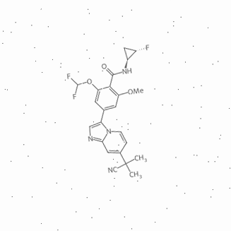 COc1cc(-c2cnc3cc(C(C)(C)C#N)ccn23)cc(OC(F)F)c1C(=O)N[C@H]1C[C@@H]1F